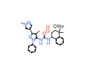 CO[C@H]1[C@@H](O)C(NC(=O)Nc2c(C)c(-c3cnn(C)c3)nn2-c2ccccc2)c2ccccc2C1(C)C